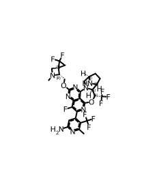 Cc1nc(N)cc(-c2nc3c4c(nc(OC[C@@H]5N(C)C[C@@]56CC6(F)F)nc4c2F)N2C[C@H]4CC[C@H](N4)[C@H]2[C@H](C(F)(F)F)O3)c1C(F)(F)F